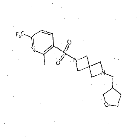 Cc1nc(C(F)(F)F)ccc1S(=O)(=O)N1CC2(CN(CC3CCOC3)C2)C1